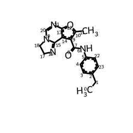 CCc1ccc(NC(=O)c2c(C)oc3c2C2=NCCN2C=N3)cc1